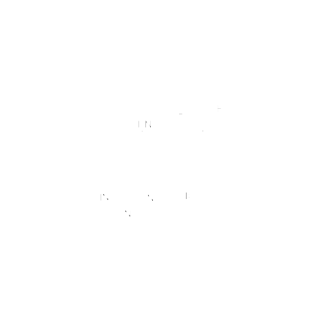 Cl.NC(CC(F)(F)F)c1c[nH]nn1